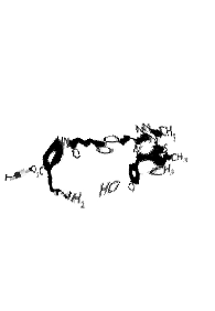 Cc1sc2c(c1C)C(c1ccc(Cl)cc1)=N[C@@H](CCOC(=O)CCCC(=O)Nc1ccc(C(=O)O)c(C#CCN)c1)c1nnc(C)n1-2.Cl